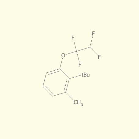 Cc1cccc(OC(F)(F)C(F)F)c1C(C)(C)C